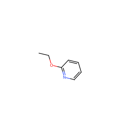 CCOc1ccc[c]n1